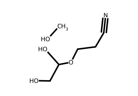 CO.N#CCCOC(O)CO